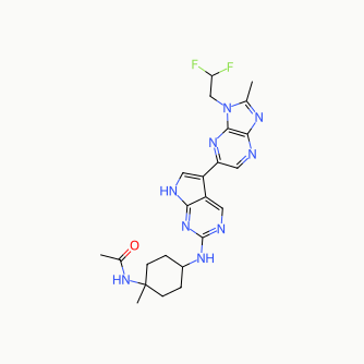 CC(=O)NC1(C)CCC(Nc2ncc3c(-c4cnc5nc(C)n(CC(F)F)c5n4)c[nH]c3n2)CC1